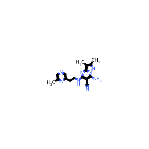 Cc1cncc(CCNc2nc3c(C)c(C)nn3c(N)c2C#N)n1